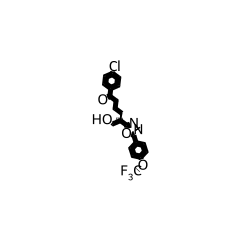 O=C(CCC[C@H](CO)c1nnc(-c2ccc(OC(F)(F)F)cc2)o1)c1ccc(Cl)cc1